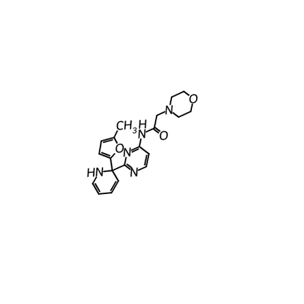 Cc1ccc(C2(c3nccc(NC(=O)CN4CCOCC4)n3)C=CC=CN2)o1